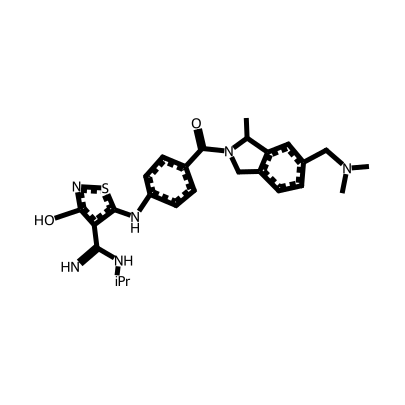 CC(C)NC(=N)c1c(O)nsc1Nc1ccc(C(=O)N2Cc3ccc(CN(C)C)cc3C2C)cc1